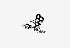 C#Cc1cccc2cccc(-c3ncc4c(N5CC6(CCNCC6)C5)nc(OC)nc4c3F)c12